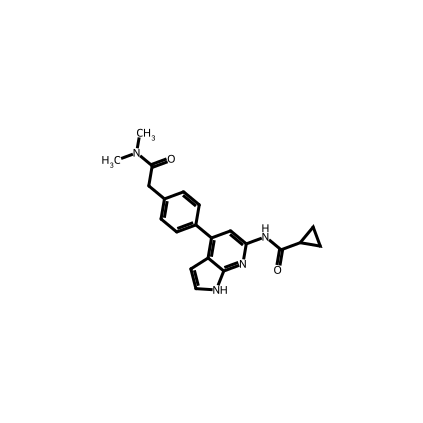 CN(C)C(=O)Cc1ccc(-c2cc(NC(=O)C3CC3)nc3[nH]ccc23)cc1